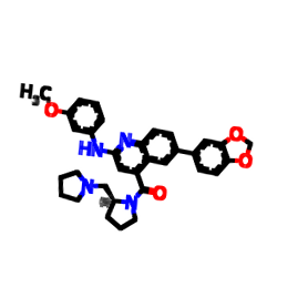 COc1cccc(Nc2cc(C(=O)N3CCC[C@H]3CN3CCCC3)c3cc(-c4ccc5c(c4)OCO5)ccc3n2)c1